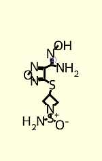 N/C(=N\O)c1nonc1SC1CN([S+](N)[O-])C1